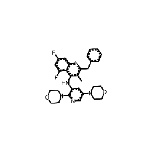 Cc1c(Cc2ccccc2)nc2cc(F)cc(F)c2c1Nc1cc(N2CCOCC2)cnc1N1CCOCC1